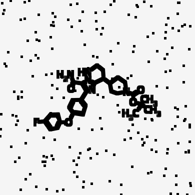 CC(C)(C)OC(=O)N1CCC(C2CCNn3c2nc(-c2ccc(Oc4ccc(F)cc4)cc2)c3C(N)=O)CC1